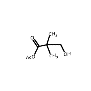 CC(=O)OC(=O)C(C)(C)CO